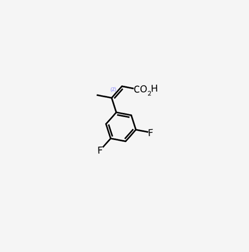 C/C(=C/C(=O)O)c1cc(F)cc(F)c1